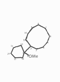 COC1(C2CCCCCCCCC2)CCCCC1